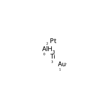 [AlH3].[Au].[Pt].[Ti]